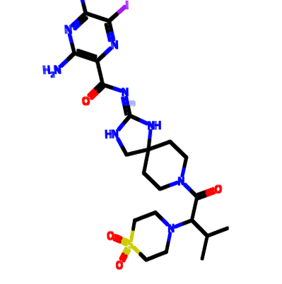 CC(C)C(C(=O)N1CCC2(CC1)CN/C(=N\C(=O)c1nc(I)c(N)nc1N)N2)N1CCS(=O)(=O)CC1